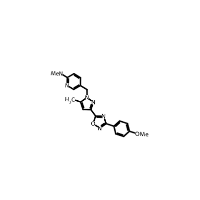 CNc1ccc(Cn2nc(-c3nc(-c4ccc(OC)cc4)no3)cc2C)cn1